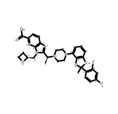 C[C@@H](c1nc2ccc(C(=O)O)nc2n1C[C@@H]1CCO1)N1CCN(c2cccc3c2OC(C)(c2ccc(Cl)cc2F)O3)CC1